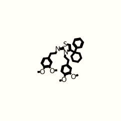 COc1ccc(CC/N=c2/scc(C3(c4ccccc4)CCCCC3)n2CCc2ccc(OC)c(OC)c2)cc1OC